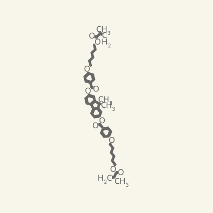 C=C(C)C(=O)OCCCCCCOc1ccc(C(=O)Oc2ccc3c(c2)C(C)(C)c2cc(OC(=O)c4ccc(OCCCCCCOC(=O)C(=C)C)cc4)ccc2-3)cc1